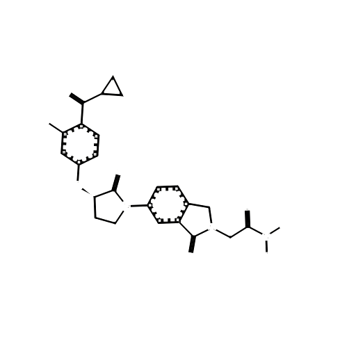 CN(C)C(=O)CN1Cc2ccc(N3CC[C@@H](Oc4ccc(C(=O)C5CC5)c(F)c4)C3=O)cc2C1=O